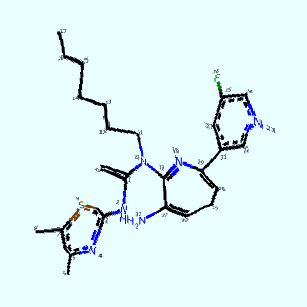 C=C(Nc1nc(C)c(C)s1)N(CCCCCCC)C1=NC(c2cncc(F)c2)=CCC=C1N